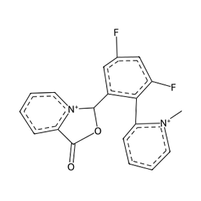 C[n+]1ccccc1-c1c(F)cc(F)cc1C1OC(=O)c2cccc[n+]21